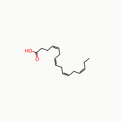 CC/C=C\C/C=C\C/C=C\C/C=C\CCC(=O)O